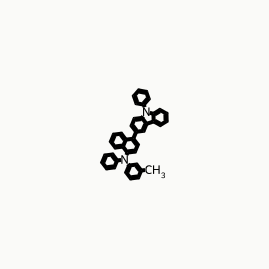 Cc1cccc(N(c2ccccc2)c2ccc(-c3ccc4c(c3)c3ccccc3n4-c3ccccc3)c3ccccc23)c1